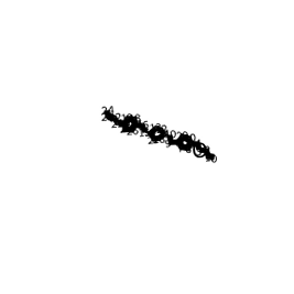 C=CCOCc1ccc(CC[C@H]2CC[C@H](CCc3ccc(CC=CC)cc3)CC2)cc1